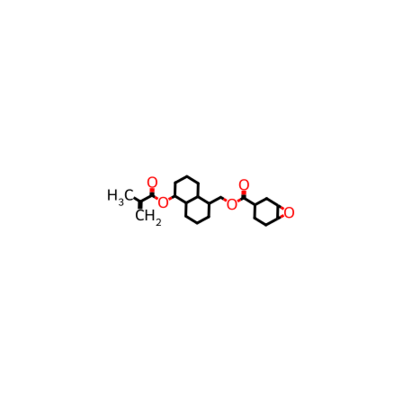 C=C(C)C(=O)OC1CCCC2C(COC(=O)C3CCC4OC4C3)CCCC12